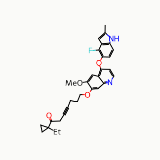 CCC1(C(=O)CC#CCCCOc2cc3nccc(Oc4ccc5[nH]c(C)cc5c4F)c3cc2OC)CC1